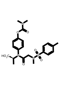 Cc1ccc(S(=O)(=O)N(C)CC(=O)N(c2ccc(OC(=O)N(C)C)cc2)[C@@H](C)C(=O)O)cc1